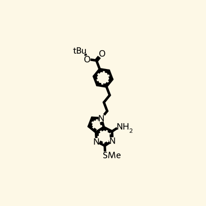 CSc1nc(N)c2c(ccn2CCCc2ccc(C(=O)OC(C)(C)C)cc2)n1